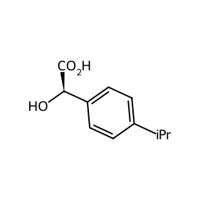 CC(C)c1ccc([C@@H](O)C(=O)O)cc1